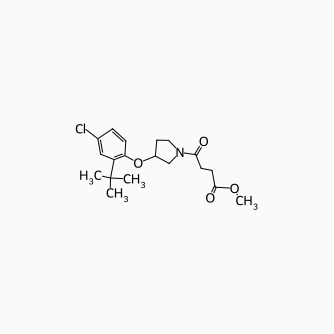 COC(=O)CCC(=O)N1CCC(Oc2ccc(Cl)cc2C(C)(C)C)C1